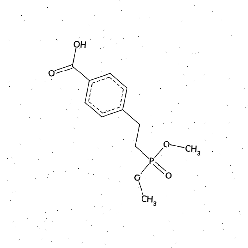 COP(=O)(CCc1ccc(C(=O)O)cc1)OC